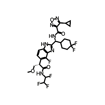 COC[C@@H](C(=O)NC(F)C(F)F)c1ccc2[nH]c([C@@H](NC(=O)c3nonc3C3CC3)C3CCC(F)(F)CC3)nc2c1F